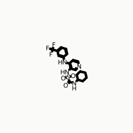 O=C(NC1CCCCC1)S(=O)(=O)Nc1cnccc1Nc1cccc(C(F)(F)F)c1